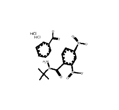 CC(C)(C)N(N)C(=O)c1ccc([N+](=O)[O-])cc1[N+](=O)[O-].Cl.Cl.O=C(Cl)c1ccccc1